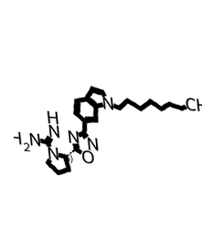 CCCCCCCCn1ccc2ccc(-c3noc([C@@H]4CCCN4C(=N)N)n3)cc21